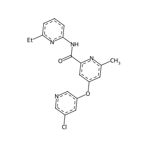 CCc1cccc(NC(=O)c2cc(Oc3cncc(Cl)c3)cc(C)n2)n1